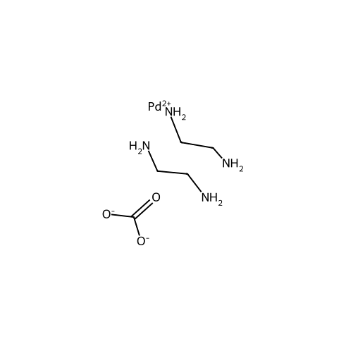 NCCN.NCCN.O=C([O-])[O-].[Pd+2]